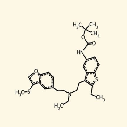 CCc1sc2ccc(NC(=O)OC(C)(C)C)cc2c1CCN(CC)CCc1ccc2occ(SC)c2c1